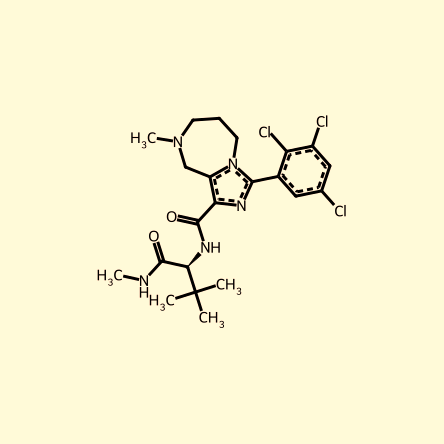 CNC(=O)[C@@H](NC(=O)c1nc(-c2cc(Cl)cc(Cl)c2Cl)n2c1CN(C)CCC2)C(C)(C)C